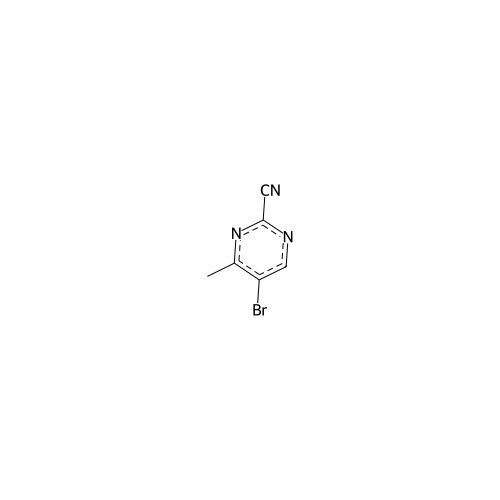 Cc1nc(C#N)ncc1Br